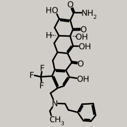 CCN(CCc1ccccc1)Cc1cc(O)c2c(c1C(F)(F)F)CC1C[C@H]3CC(O)=C(C(N)=O)C(=O)[C@@]3(O)C(O)=C1C2=O